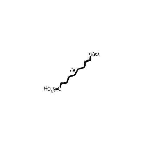 CCCCCCCCCCCCCCCCOS(=O)(=O)O.[Fe]